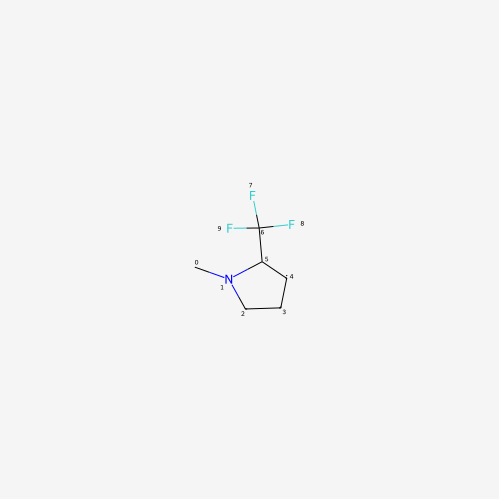 CN1CC[CH]C1C(F)(F)F